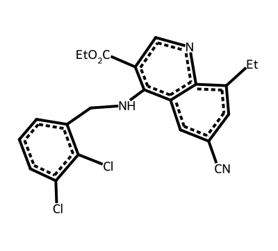 CCOC(=O)c1cnc2c(CC)cc(C#N)cc2c1NCc1cccc(Cl)c1Cl